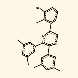 Cc1cc(C)cc(-c2ncc(-c3cccc(C#N)c3C)nc2-c2cc(C)cc(C)c2)c1